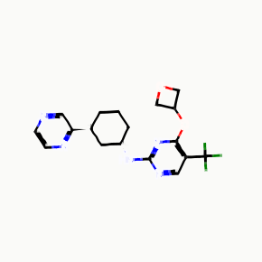 FC(F)(F)c1cnc(N[C@H]2CCC[C@H](c3cnccn3)C2)nc1OC1COC1